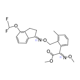 CO/N=C(/C(=O)OC)c1cccc(C)c1CO/N=C1\CCc2c(OC(F)F)cccc21